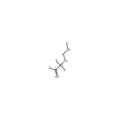 COCOC(C)(C)C(C)=O